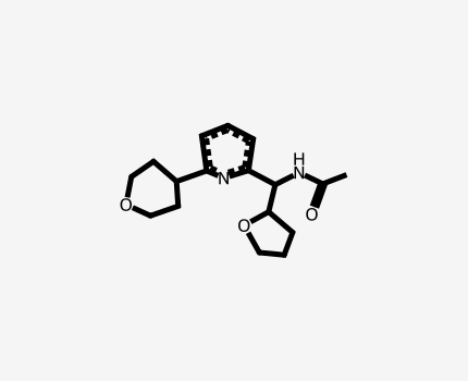 CC(=O)NC(c1cccc(C2CCOCC2)n1)C1CCCO1